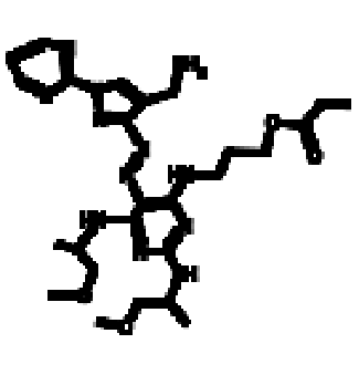 CCC(=O)OCCCNc1nc(NC(C)COC)nc(NC(C)COC)c1N=Nc1nn(-c2ncccn2)cc1CN